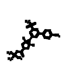 CC(C)(C)OC(=O)N1C[C@@H]2[C@H](C1)[C@H]2c1cc(-c2cnc(N)nc2)nc(S(C)(=O)=O)n1